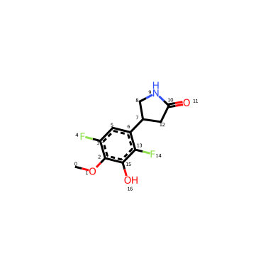 COc1c(F)cc(C2CNC(=O)C2)c(F)c1O